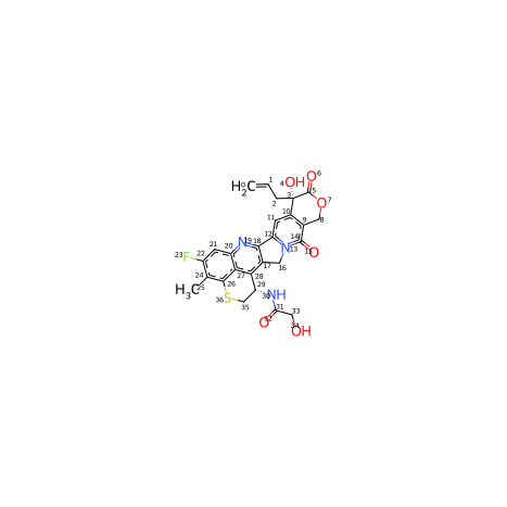 C=CC[C@@]1(O)C(=O)OCc2c1cc1n(c2=O)Cc2c-1nc1cc(F)c(C)c3c1c2[C@H](NC(=O)CO)CS3